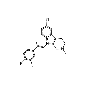 C/C(=C\n1c2c(c3cc(Cl)ccc31)CCN(C)C2)c1ccc(F)c(F)c1